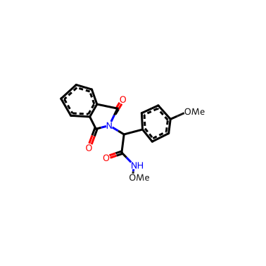 CONC(=O)C(c1ccc(OC)cc1)N1C(=O)c2ccccc2C1=O